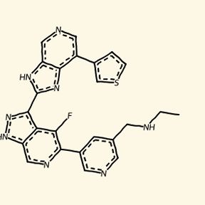 CCNCc1cncc(-c2ncc3[nH]nc(-c4nc5c(-c6ccsc6)cncc5[nH]4)c3c2F)c1